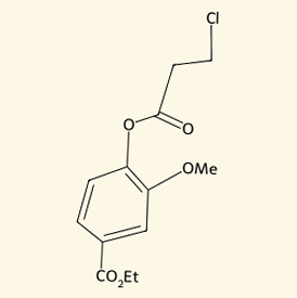 CCOC(=O)c1ccc(OC(=O)CCCl)c(OC)c1